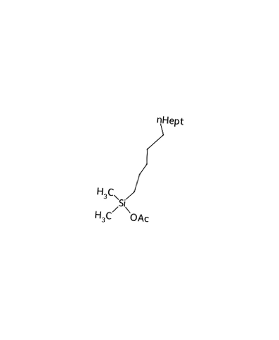 CCCCCCCCCCCC[Si](C)(C)OC(C)=O